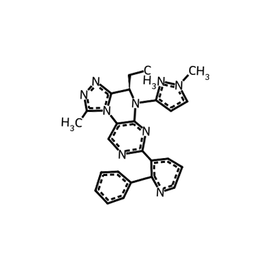 CC[C@@H]1c2nnc(C)n2-c2cnc(-c3cccnc3-c3ccccc3)nc2N1c1ccn(C)n1